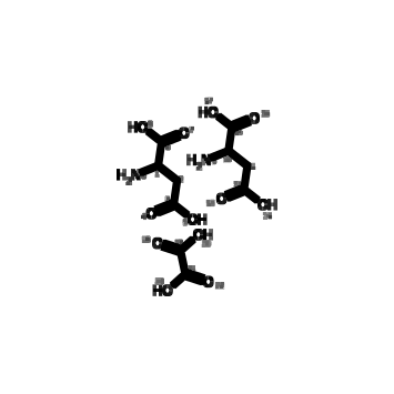 NC(CC(=O)O)C(=O)O.NC(CC(=O)O)C(=O)O.O=C(O)C(=O)O